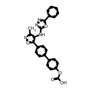 Cc1noc(-c2ccc(-c3ccc(OC(=O)O)cc3)cc2)c1Nc1nnc(-c2ccccc2)o1